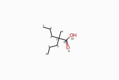 CCCC(C)(CCC)C(=O)O